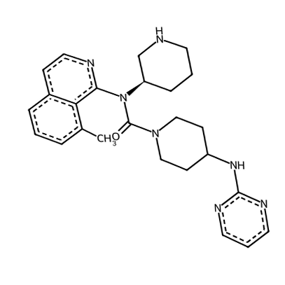 Cc1cccc2ccnc(N(C(=O)N3CCC(Nc4ncccn4)CC3)[C@@H]3CCCNC3)c12